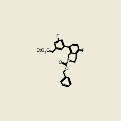 CCOC(=O)Cc1cc(F)cc(-c2ccc(F)c3c2CN(C(=O)OCc2ccccc2)CC3)c1